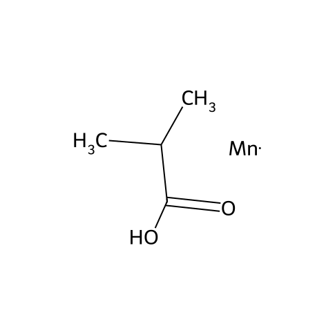 CC(C)C(=O)O.[Mn]